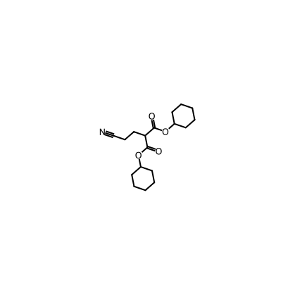 N#CCCC(C(=O)OC1CCCCC1)C(=O)OC1CCCCC1